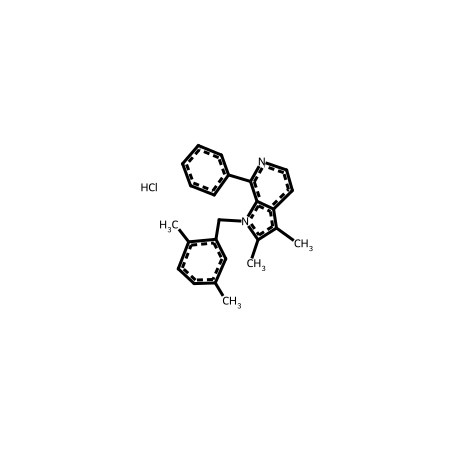 Cc1ccc(C)c(Cn2c(C)c(C)c3ccnc(-c4ccccc4)c32)c1.Cl